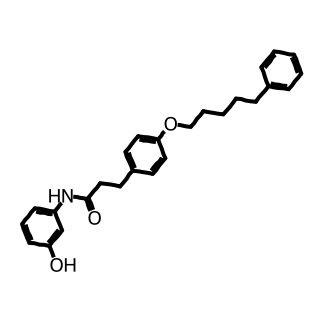 O=C(CCc1ccc(OCCCCCc2ccccc2)cc1)Nc1cccc(O)c1